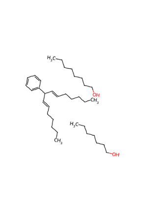 CCCCCC=CC(C=CCCCCC)c1ccccc1.CCCCCCCCO.CCCCCCCO